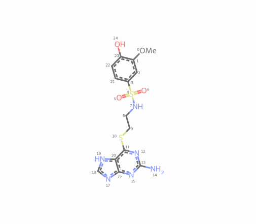 COc1cc(S(=O)(=O)NCCSc2nc(N)nc3nc[nH]c23)ccc1O